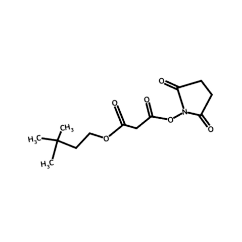 CC(C)(C)CCOC(=O)CC(=O)ON1C(=O)CCC1=O